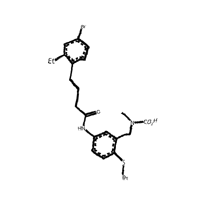 CCc1cc(Br)ccc1CCCC(=O)Nc1ccc(SC(C)C)c(CN(C)C(=O)O)c1